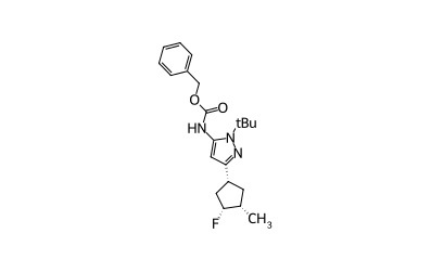 C[C@H]1C[C@@H](c2cc(NC(=O)OCc3ccccc3)n(C(C)(C)C)n2)C[C@H]1F